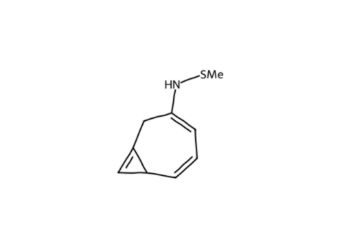 CSNC1=CC=CC2C=C2C1